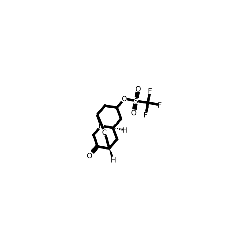 O=C1CN2C3CC(OS(=O)(=O)C(F)(F)F)C[C@H]2C[C@H]1C3